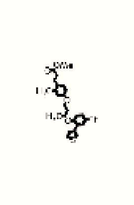 CCc1ccc(OC(C)CCOc2ccc(CCC(=O)OC)c(C)c2)c(-c2ccsc2)c1